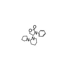 O=C1OCC(N2CCCCC2N2CCCC2)N1c1ccccc1